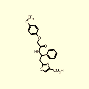 O=C(COc1ccc(OC(F)(F)F)cc1)NC(Cc1nc(C(=O)O)cs1)c1ccccc1